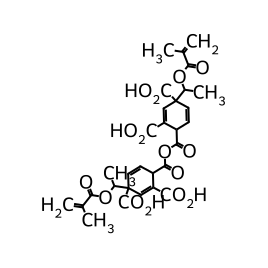 C=C(C)C(=O)OC(C)C1(C(=O)O)C=CC(C(=O)OC(=O)C2C=CC(C(=O)O)(C(C)OC(=O)C(=C)C)C=C2C(=O)O)C(C(=O)O)=C1